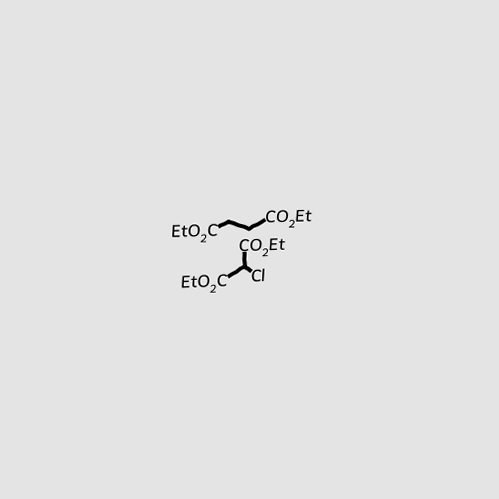 CCOC(=O)C(Cl)C(=O)OCC.CCOC(=O)CCC(=O)OCC